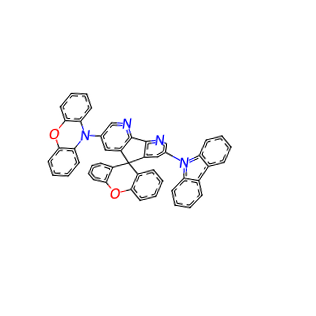 c1ccc2c(c1)Oc1ccccc1N2c1cnc2c(c1)C1(c3ccccc3Oc3ccccc31)c1cc(-n3c4ccccc4c4ccccc43)cnc1-2